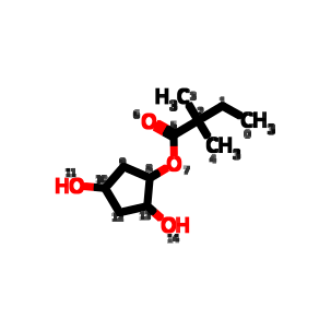 CCC(C)(C)C(=O)OC1CC(O)CC1O